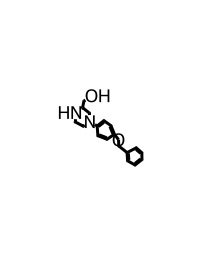 OCC1CN(c2ccc(OCc3ccccc3)cc2)CCN1